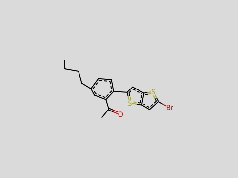 CCCCc1ccc(-c2cc3sc(Br)cc3s2)c(C(C)=O)c1